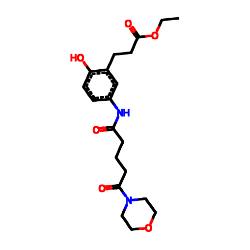 CCOC(=O)CCc1cc(NC(=O)CCCC(=O)N2CCOCC2)ccc1O